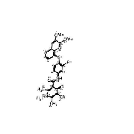 COc1cc2nccc(Oc3ccc(NC(=O)c4c(C)n(C)c(C)c(C#N)c4=O)cc3F)c2nc1OC